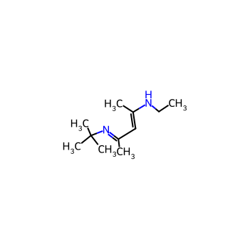 CCNC(C)=CC(C)=NC(C)(C)C